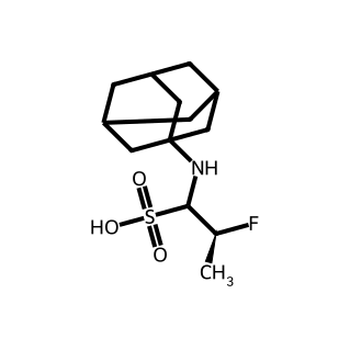 C[C@H](F)C(NC12CC3CC(CC(C3)C1)C2)S(=O)(=O)O